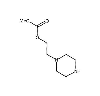 COC(=O)OCCN1CCNCC1